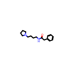 O=C(Cc1ccccc1)NCCCCN1C[CH]CC1